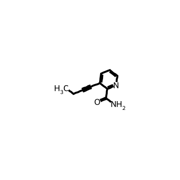 CCC#Cc1cccnc1C(N)=O